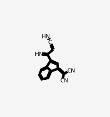 N#CC(C#N)=C1C=C(C(=N)C=C=N)c2ccccc21